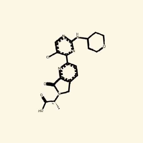 C[C@H](C(=O)O)N1Cc2ccc(-c3nc(NC4CCOCC4)ncc3Cl)nc2C1=O